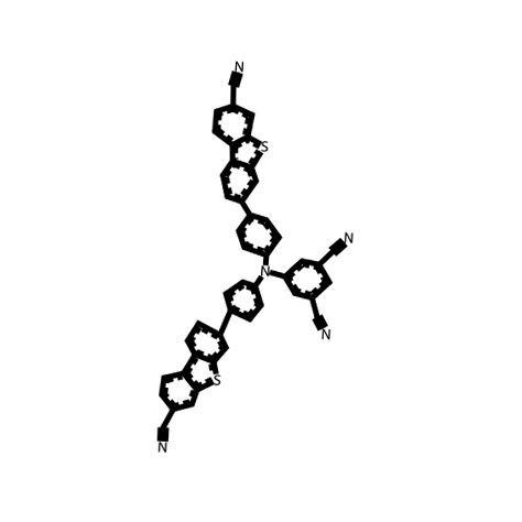 N#Cc1cc(C#N)cc(N(c2ccc(-c3ccc4c(c3)sc3cc(C#N)ccc34)cc2)c2ccc(-c3ccc4c(c3)sc3cc(C#N)ccc34)cc2)c1